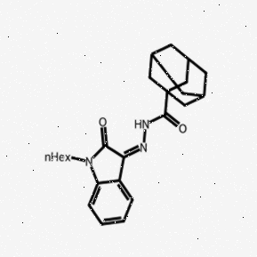 CCCCCCN1C(=O)C(=NNC(=O)C23CC4CC(CC(C4)C2)C3)c2ccccc21